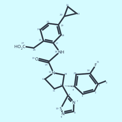 Cc1ccc([C@]2(c3ncns3)CCN(C(=O)Nc3cc(C4CC4)ccc3CC(=O)O)C2)cc1F